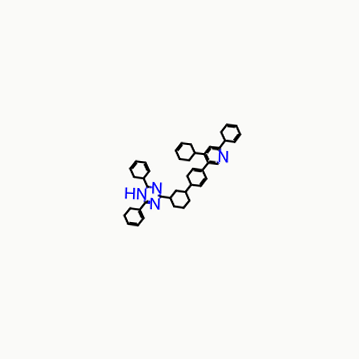 C1=CCCC(C2=NC(C3CCCC(C4C=CC(c5cnc(C6C=CC=CC6)cc5C5CC=CCC5)=CC4)C3)=NC(C3C=CC=CC3)N2)=C1